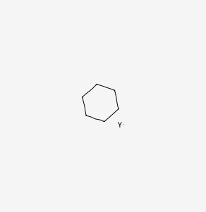 C1CCCCC1.[Y]